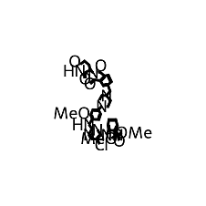 COc1cc(N2CCN(Cc3ccc4c(c3)C(=O)N(C3CCC(=O)NC3=O)C4=O)CC2)ccc1Nc1ncc(Cl)c(Nc2ccccc2P(=O)(OC)OC)n1